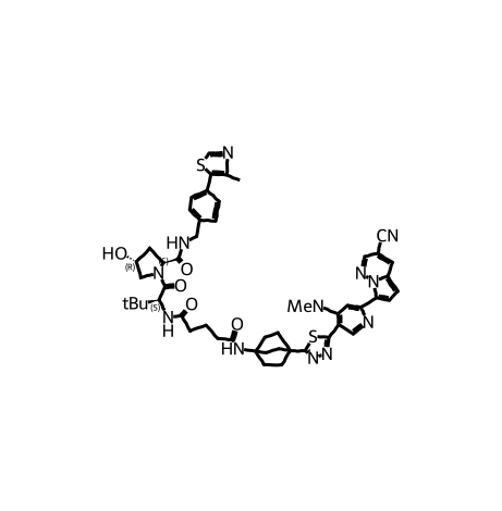 CNc1cc(-c2ccc3cc(C#N)cnn23)ncc1-c1nnc(C23CCC(NC(=O)CCCC(=O)N[C@H](C(=O)N4C[C@H](O)C[C@H]4C(=O)NCc4ccc(-c5scnc5C)cc4)C(C)(C)C)(CC2)CC3)s1